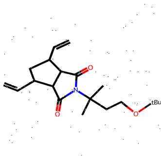 C=CC1CC(C=C)C2C(=O)N(C(C)(C)CCOC(C)(C)C)C(=O)C12